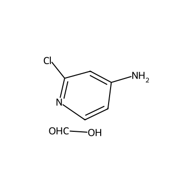 Nc1ccnc(Cl)c1.O=CO